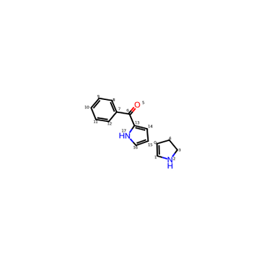 C1=CNCC1.O=C(c1ccccc1)c1ccc[nH]1